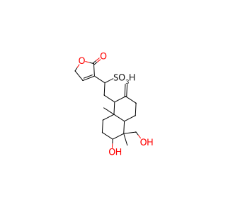 C=C1CCC2C(C)(CO)C(O)CCC2(C)C1CC(C1=CCOC1=O)S(=O)(=O)O